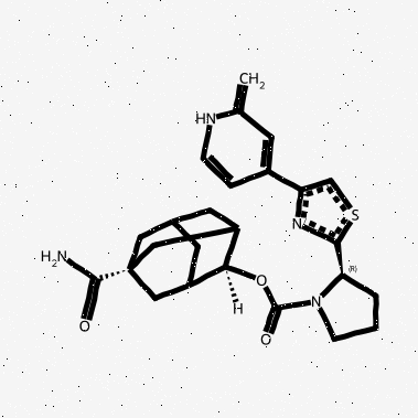 C=C1C=C(c2csc([C@H]3CCCN3C(=O)O[C@H]3C4CC5CC3C[C@](C(N)=O)(C5)C4)n2)C=CN1